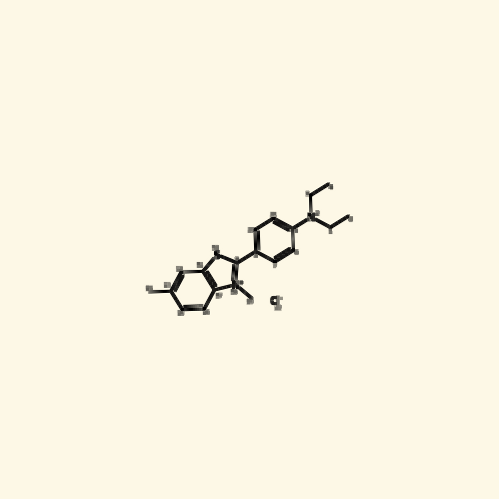 CCN(CC)c1ccc(-c2sc3cc(C)ccc3[n+]2C)cc1.[Cl-]